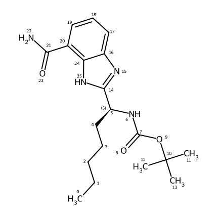 CCCCC[C@H](NC(=O)OC(C)(C)C)c1nc2cccc(C(N)=O)c2[nH]1